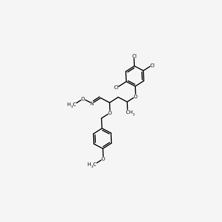 CON=CC(CC(C)Oc1cc(Cl)c(Cl)cc1Cl)OCc1ccc(OC)cc1